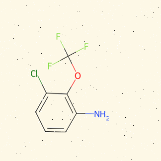 Nc1cccc(Cl)c1OC(F)(F)F